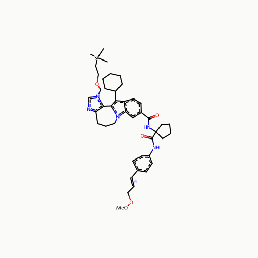 COOC/C=C/c1ccc(NC(=O)C2(NC(=O)c3ccc4c(C5CCCCC5)c5n(c4c3)CCCc3ncn(COCC[Si](C)(C)C)c3-5)CCCC2)cc1